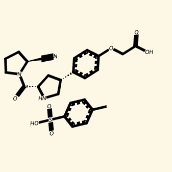 Cc1ccc(S(=O)(=O)O)cc1.N#C[C@@H]1CCCN1C(=O)[C@@H]1C[C@H](c2ccc(OCC(=O)O)cc2)CN1